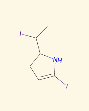 CC(I)C1CC=C(I)N1